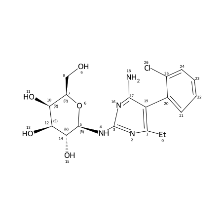 CCc1nc(N[C@@H]2O[C@H](CO)[C@H](O)[C@H](O)[C@H]2O)nc(N)c1-c1ccccc1Cl